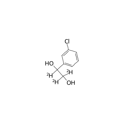 [2H]C([2H])(O)C([2H])(O)c1cccc(Cl)c1